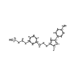 Cc1oc(-c2ccc(C(C)C)cc2)nc1CCOc1cccc(CSCC(=O)O)c1